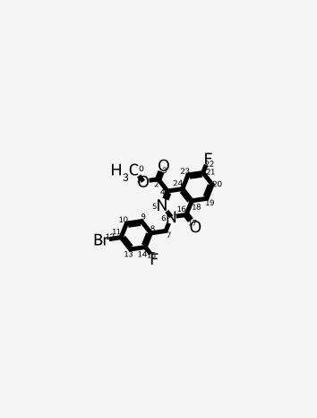 COC(=O)c1nn(Cc2ccc(Br)cc2F)c(=O)c2ccc(F)cc12